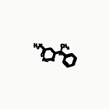 CC(=O)SC(CC(N)=O)[C@H](C)c1ccccc1